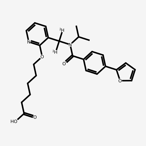 [2H]C([2H])(c1cccnc1OCCCCCC(=O)O)N(C(=O)c1ccc(-c2ccco2)cc1)C(C)C